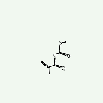 C=C(C)C(=O)OC(=O)OC